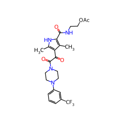 CC(=O)OCCNC(=O)c1[nH]c(C)c(C(=O)C(=O)N2CCN(c3cccc(C(F)(F)F)c3)CC2)c1C